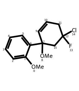 COc1ccccc1C1(OC)C=C[CH]C(F)(Cl)C1